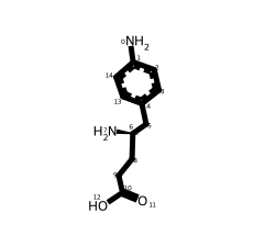 Nc1ccc(C[C@H](N)CCC(=O)O)cc1